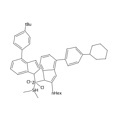 CCCCCCC1=Cc2c(-c3ccc(C4CCCCC4)cc3)cccc2[CH]1[Zr]([Cl])([Cl])([CH]1C=Cc2c(-c3ccc(C(C)(C)C)cc3)cccc21)[SiH](C)C